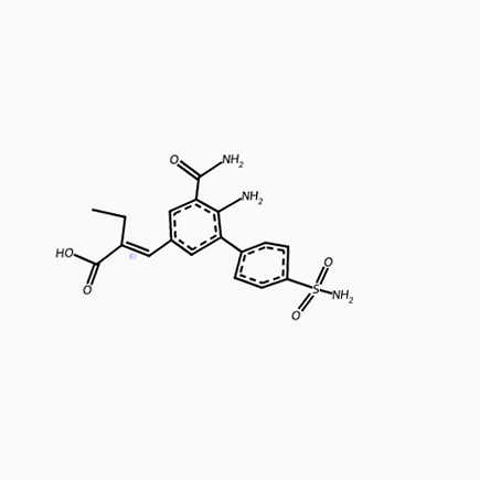 CC/C(=C\c1cc(C(N)=O)c(N)c(-c2ccc(S(N)(=O)=O)cc2)c1)C(=O)O